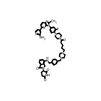 Cc1nc2ccc(-c3ccnc(N)c3)nc2n1-c1ccc(N2CCN(C(=O)CCCCN3CCN(Cc4ccc(CNc5cccc6c5CN(C5CCC(=O)NC5=O)C6=O)cc4)CC3)CC2)c(F)c1